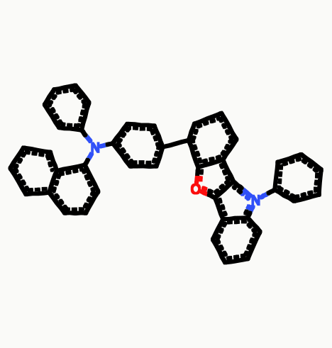 c1ccc(N(c2ccc(-c3cccc4c3oc3c5ccccc5n(-c5ccccc5)c43)cc2)c2cccc3ccccc23)cc1